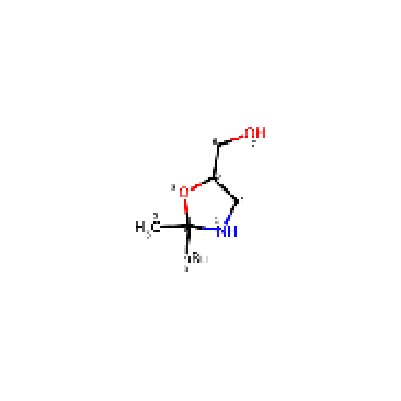 CCCCC1(C)NCC(CO)O1